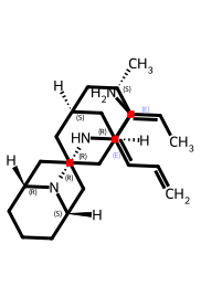 C=C/C=C(N[C@H]1C[C@H]2CCC[C@@H](C1)N2[C@H]1C[C@@H]2C[C@@H](C)C[C@@H](C2)C1)\C(N)=C/C